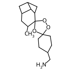 CC1CC2CC3CC(C23)C12OOC1(CCC(CN)CC1)O2